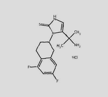 CC(C)(N)c1c[nH]c(=S)n1C1CCc2c(F)cc(F)cc2C1.Cl